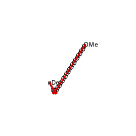 CCCCCCCCCCCCCCCCCCOC(=O)c1cccc2cccc(C(=O)OCCOCCOCCOCCOCCOCCOCCOCCOCCOCCOCCOCCOCCOCCOCCOCCOCCOCCOCCOCCOC)c12